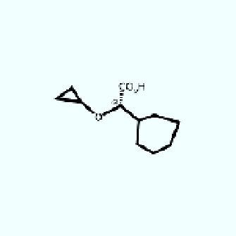 O=C(O)[C@@H](OC1CC1)C1CCCCC1